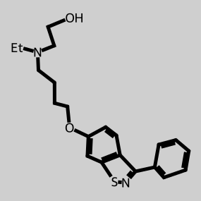 CCN(CCO)CCCCOc1ccc2c(-c3ccccc3)nsc2c1